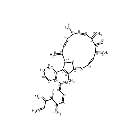 C=CC(=C)C(=O)C(=C)/C=C\C=C(/CC)C(/C=C\C)=C(C)C1=C(C)/C2=C/C=C\C(=C)C(=O)C(=C)/C=C\C(C)/C=C\C(=C)N1C2